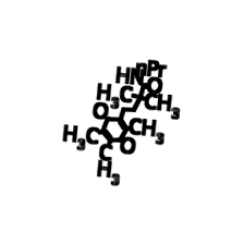 CCCNC(=O)C(C)(C)CCC1=C(C)C(=O)C(C)=C(C)C1=O